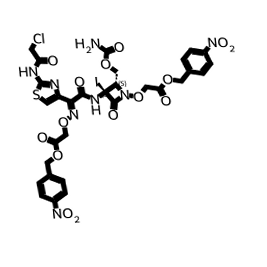 NC(=O)OC[C@@H]1N(OCC(=O)OCc2ccc([N+](=O)[O-])cc2)C(=O)[C@]1(I)NC(=O)C(=NOCC(=O)OCc1ccc([N+](=O)[O-])cc1)c1csc(NC(=O)CCl)n1